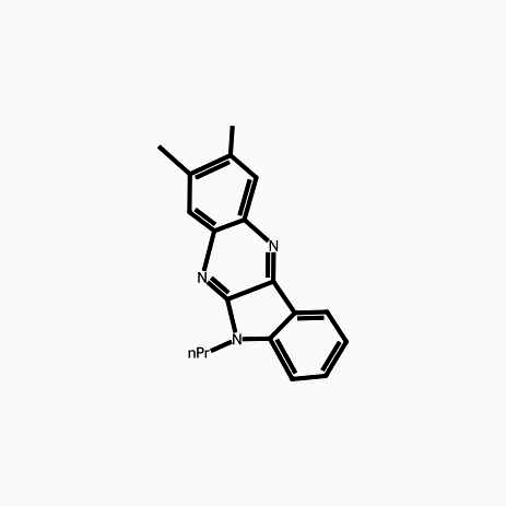 CCCn1c2ccccc2c2nc3cc(C)c(C)cc3nc21